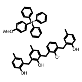 COc1ccc([N+](c2ccccc2)(c2ccccc2)c2ccccc2)cc1.Cc1ccc(O)c(Cc2cccc(Cc3cc(C)cc(Cc4cc(C)ccc4O)c3O)c2[O-])c1